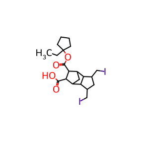 CCC1(OC(=O)C2C3CC(C2C(=O)O)C2C(CI)CC(CI)C32)CCCC1